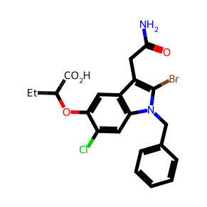 CCC(Oc1cc2c(CC(N)=O)c(Br)n(Cc3ccccc3)c2cc1Cl)C(=O)O